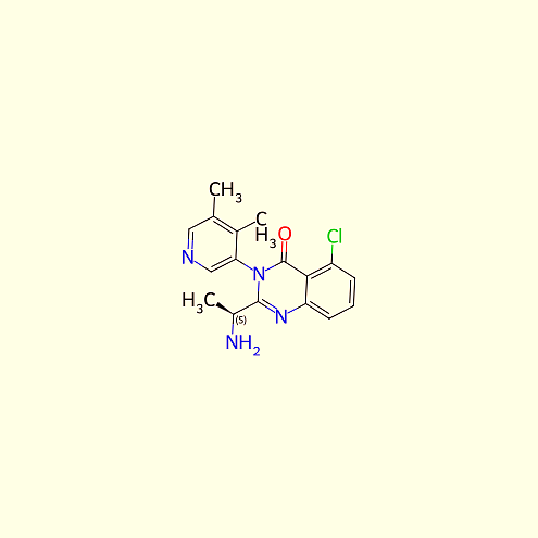 Cc1cncc(-n2c([C@H](C)N)nc3cccc(Cl)c3c2=O)c1C